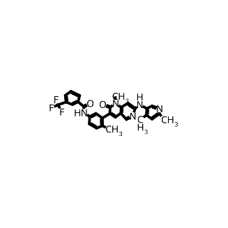 Cc1cc(C)c(Nc2cc3c(cn2)cc(-c2cc(NC(=O)c4cccc(C(F)(F)F)c4)ccc2C)c(=O)n3C)cn1